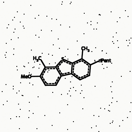 CCCCCc1ccc2c(sc3c(C)c(OC)ccc32)c1C